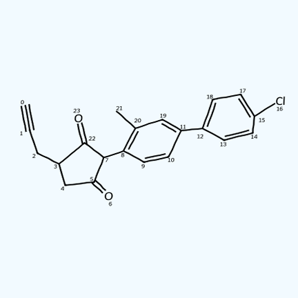 C#CCC1CC(=O)C(c2ccc(-c3ccc(Cl)cc3)cc2C)C1=O